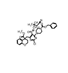 COC(=O)C1(Cc2nc(Cl)nc(N3CCN(C(=O)OCc4ccccc4)[C@@H](C(C#N)C(C)(C)C)C3)c2[N+](=O)[O-])CCOc2ccccc21